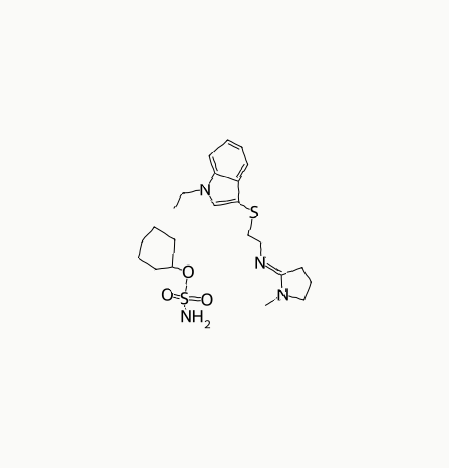 CCn1cc(SCCN=C2CCCN2C)c2ccccc21.NS(=O)(=O)OC1CCCCC1